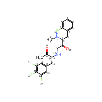 CN[C@@H](Cc1ccccc1F)C(=O)CN[C@@H](Cc1cc(F)c(F)c(F)c1)C(C)=O